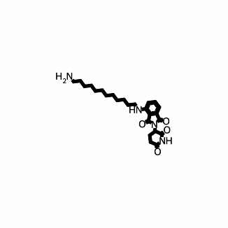 NCCCCCCCCCCCCNc1cccc2c1C(=O)N(C1CCC(=O)NC1=O)C2=O